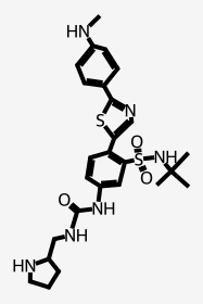 CNc1ccc(-c2ncc(-c3ccc(NC(=O)NCC4CCCN4)cc3S(=O)(=O)NC(C)(C)C)s2)cc1